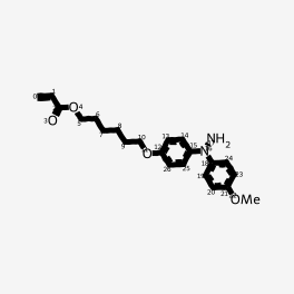 C=CC(=O)OCCCCCCOc1ccc(N(N)c2ccc(OC)cc2)cc1